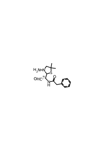 CC1(C)CN(N)C([C@@H](C=O)NC(=O)Cc2ccccc2)S1